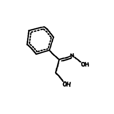 OCC(=NO)c1ccccc1